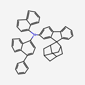 c1ccc(-c2ccc(N(c3ccc4c(c3)C3(c5ccccc5-4)C4CC5CC(C4)CC3C5)c3cccc4ccccc34)c3ccccc23)cc1